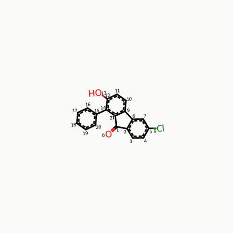 O=C1c2ccc(Cl)cc2-c2ccc(O)c(-c3ccccc3)c21